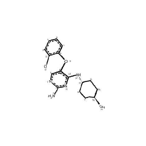 Nc1ncc(Oc2ccccc2Cl)c(N[C@H]2CC[C@H](O)CC2)n1